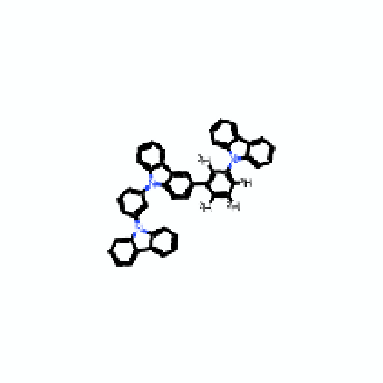 [2H]c1c([2H])c(-c2ccc3c(c2)c2ccccc2n3-c2cccc(-n3c4ccccc4c4ccccc43)c2)c([2H])c(-n2c3ccccc3c3ccccc32)c1[2H]